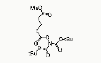 COC(=O)CCCC(=O)ON(C(=O)OC(C)(C)C)C(=O)OC(C)(C)C